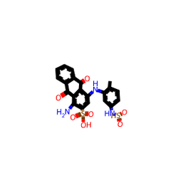 Cc1ccc(N[SH](=O)=O)cc1Nc1cc(S(=O)(=O)O)c(N)c2c1C(=O)c1ccccc1C2=O